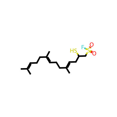 CC(C)=CCCC(C)=CCCC(C)=CCC(S)CS(=O)(=O)F